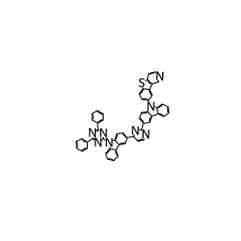 c1ccc(-c2nc(-c3ccccc3)nc(-n3c4ccccc4c4cc(-c5ccnc(-c6ccc7c(c6)c6ccccc6n7-c6ccc7sc8ccncc8c7c6)n5)ccc43)n2)cc1